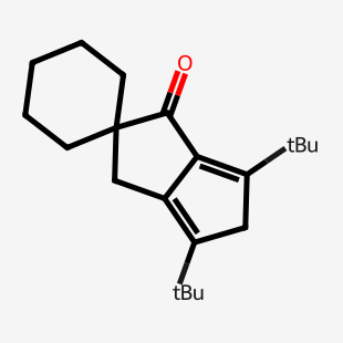 CC(C)(C)C1=C2CC3(CCCCC3)C(=O)C2=C(C(C)(C)C)C1